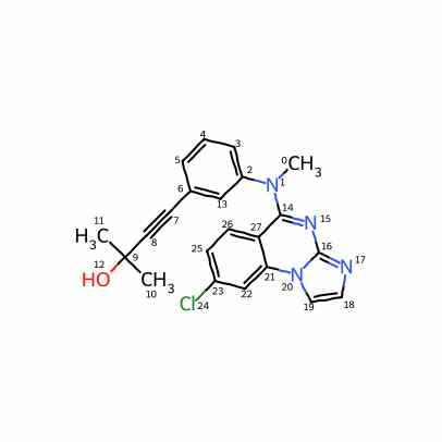 CN(c1cccc(C#CC(C)(C)O)c1)c1nc2nccn2c2cc(Cl)ccc12